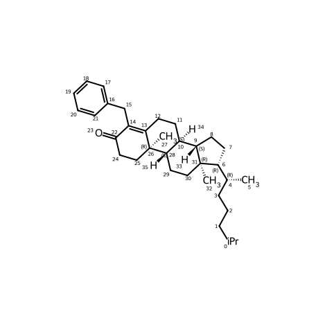 CC(C)CCC[C@@H](C)[C@H]1CC[C@H]2[C@@H]3CCC4=C(Cc5ccccc5)C(=O)CC[C@]4(C)[C@H]3CC[C@]12C